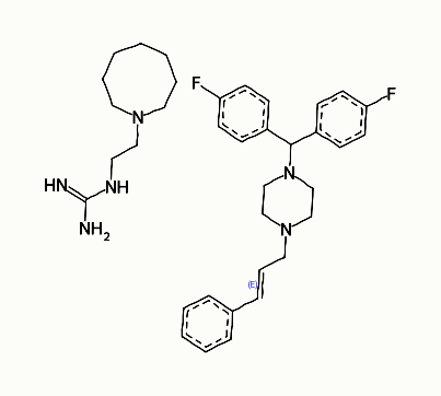 Fc1ccc(C(c2ccc(F)cc2)N2CCN(C/C=C/c3ccccc3)CC2)cc1.N=C(N)NCCN1CCCCCCC1